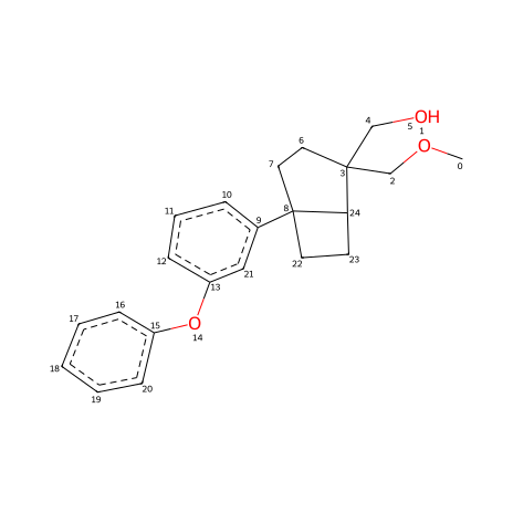 COCC1(CO)CCC2(c3cccc(Oc4ccccc4)c3)CCC12